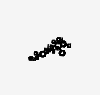 CN1C(=O)C(NC(=S)NCC2CCN(C(=O)OC(C)(C)C)CC2)N=C(c2ccccc2)c2cc(Cl)ccc21